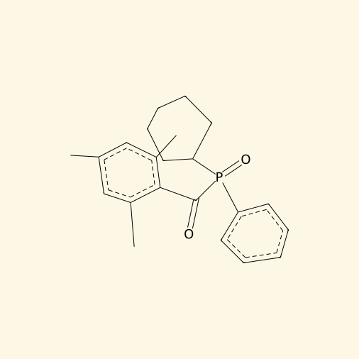 Cc1cc(C)c(C(=O)P(=O)(c2ccccc2)C2CCCCC2)c(C)c1